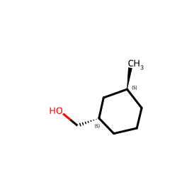 C[C@H]1CCC[C@H](CO)C1